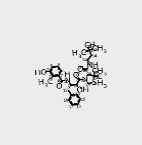 Cc1c(O)cccc1C(=O)N[C@@H](Cc1ccccc1)[C@H](O)C(=O)N1CSC(C)(C)[C@H]1C(=O)NCCC(C)(C)C